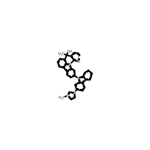 C[n+]1ccn(-c2ccc3c4ccccc4n(-c4ccc5c6cccc7c6n(c5c4)-c4ncccc4C7(C)C)c3c2)c1